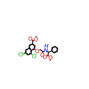 COC(=O)c1cc(OCC(=O)NC(C(=O)OC)c2ccccc2)c2c(Cl)cc(Cl)cc2c1